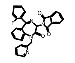 O=C1C(N2C(=O)c3ccccc3C2=O)N=C(c2ccccc2F)c2ccccc2N1Cc1ccccn1